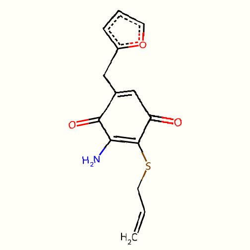 C=CCSC1=C(N)C(=O)C(Cc2ccco2)=CC1=O